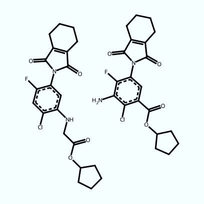 Nc1c(F)c(N2C(=O)C3=C(CCCC3)C2=O)cc(C(=O)OC2CCCC2)c1Cl.O=C(CNc1cc(N2C(=O)C3=C(CCCC3)C2=O)c(F)cc1Cl)OC1CCCC1